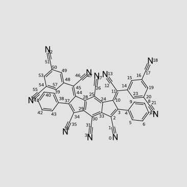 N#CC1=C(c2ccccc2)/C(=C(/C#N)c2cc(C#N)cc(C#N)c2)c2c(C#N)c3c(c(C#N)c21)C(C#N)=C(c1ccccc1)/C3=C(/C#N)c1cc(C#N)cc(C#N)c1